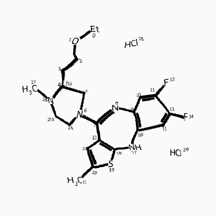 CCOCC[C@H]1CN(C2=Nc3cc(F)c(F)cc3Nc3sc(C)cc32)CCN1C.Cl.Cl